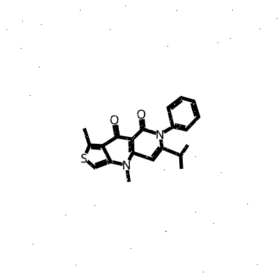 Cc1scc2c1c(=O)c1c(=O)n(-c3ccccc3)c(C(C)C)cc1n2C